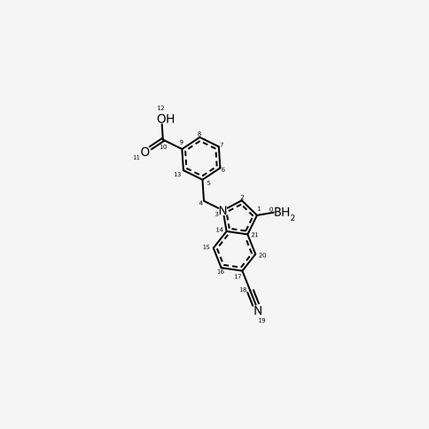 Bc1cn(Cc2cccc(C(=O)O)c2)c2ccc(C#N)cc12